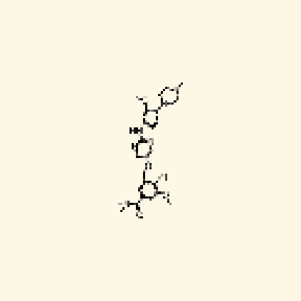 CNC(=O)c1cc(COc2cnc(Nc3ccc(N4CCN(C)CC4)c(OC)c3)nc2)c(Cl)c(OC)c1